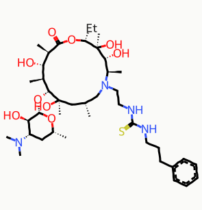 CC[C@H]1OC(=O)[C@H](C)[C@@H](O)[C@H](C)[C@@H](O[C@@H]2O[C@H](C)C[C@H](N(C)C)[C@H]2O)[C@](C)(O)C[C@@H](C)CN(CCNC(=S)NCCCc2ccccc2)[C@H](C)[C@@H](O)[C@]1(C)O